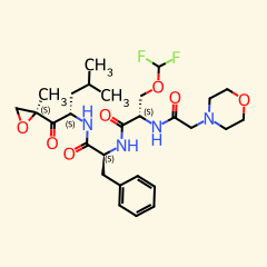 CC(C)C[C@H](NC(=O)[C@H](Cc1ccccc1)NC(=O)[C@H](COC(F)F)NC(=O)CN1CCOCC1)C(=O)[C@]1(C)CO1